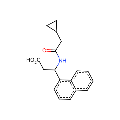 O=C(O)CC(NC(=O)CC1CC1)c1cccc2ccccc12